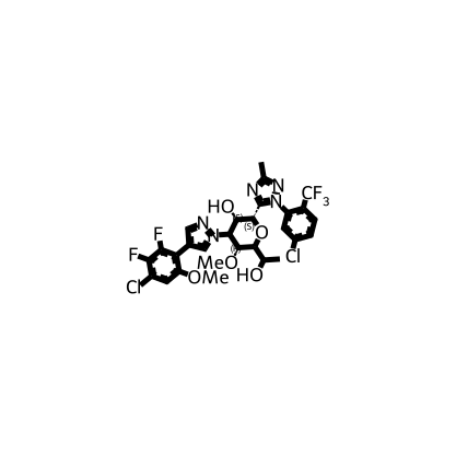 COc1cc(Cl)c(F)c(F)c1-c1cnn(C2[C@@H](OC)C(C(C)O)O[C@@H](c3nc(C)nn3-c3cc(Cl)ccc3C(F)(F)F)[C@H]2O)c1